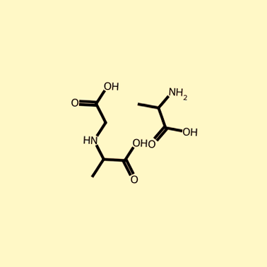 CC(N)C(=O)O.CC(NCC(=O)O)C(=O)O